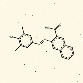 Cc1cc(/N=N/c2cc3ccccc3cc2C(=O)S)cc(C)c1O